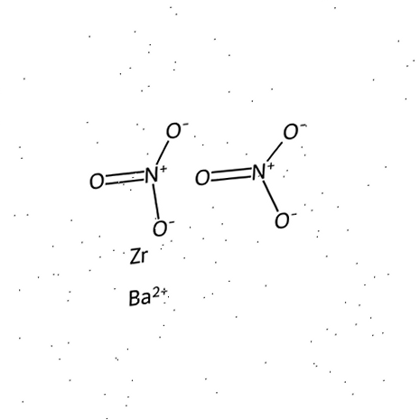 O=[N+]([O-])[O-].O=[N+]([O-])[O-].[Ba+2].[Zr]